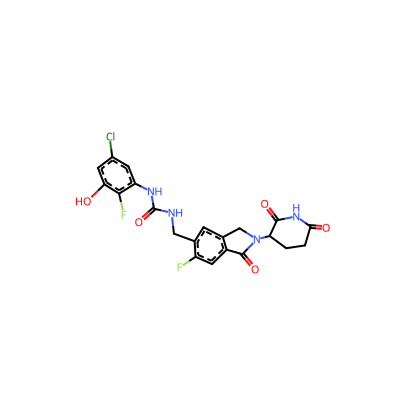 O=C1CCC(N2Cc3cc(CNC(=O)Nc4cc(Cl)cc(O)c4F)c(F)cc3C2=O)C(=O)N1